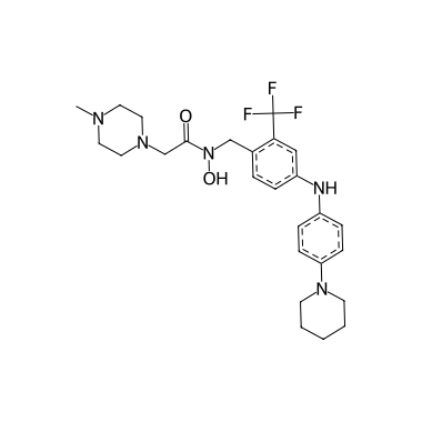 CN1CCN(CC(=O)N(O)Cc2ccc(Nc3ccc(N4CCCCC4)cc3)cc2C(F)(F)F)CC1